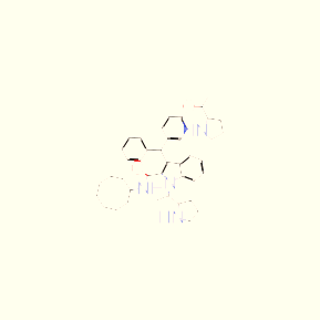 CC(Oc1ccc(C(c2ccccc2)c2c(C(=O)NC3CCCCCCC3)n(C(C)C3CCCN3)c3ccccc23)cc1)C1CCCN1